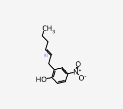 CCC/C=C/Cc1cc([N+](=O)[O-])ccc1O